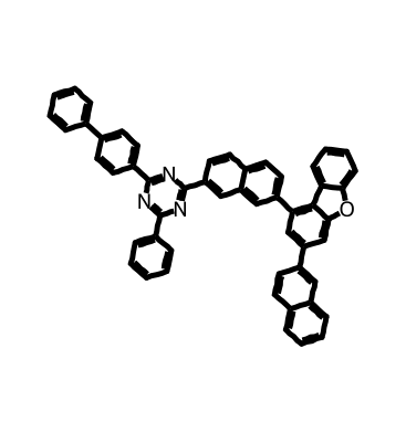 c1ccc(-c2ccc(-c3nc(-c4ccccc4)nc(-c4ccc5ccc(-c6cc(-c7ccc8ccccc8c7)cc7oc8ccccc8c67)cc5c4)n3)cc2)cc1